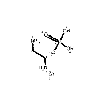 NCCN.O=P(O)(O)O.[Zn]